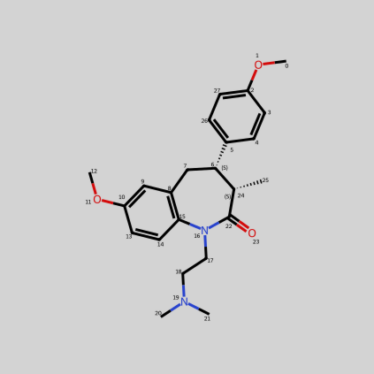 COc1ccc([C@H]2Cc3cc(OC)ccc3N(CCN(C)C)C(=O)[C@H]2C)cc1